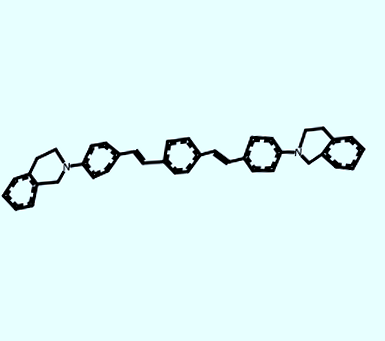 C(=Cc1ccc(N2CCc3ccccc3C2)cc1)c1ccc(C=Cc2ccc(N3CCc4ccccc4C3)cc2)cc1